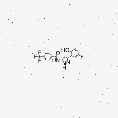 O=C(Nc1cc(-c2cc(F)ccc2O)n[nH]1)c1ccc(C(F)(F)F)cc1